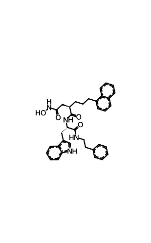 O=C(C[C@@H](CCCc1cccc2ccccc12)C(=O)N[C@@H](Cc1c[nH]c2ccccc12)C(=O)NCCc1ccccc1)NO